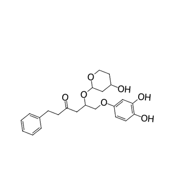 O=C(CCc1ccccc1)CC(COc1ccc(O)c(O)c1)OC1CC(O)CCO1